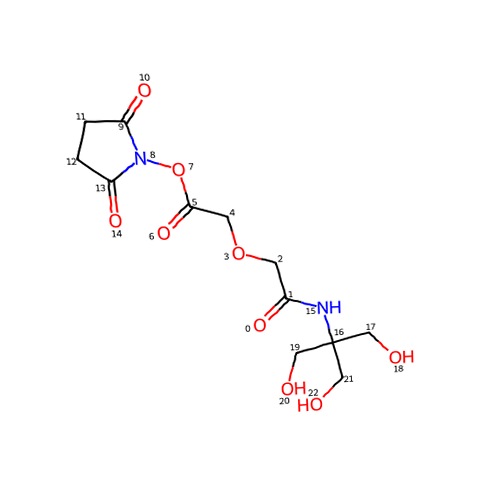 O=C(COCC(=O)ON1C(=O)CCC1=O)NC(CO)(CO)CO